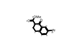 COC(=O)C1CCc2ccc(C(C)C)cc2C1=O